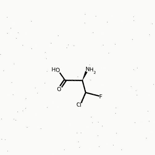 N[C@H](C(=O)O)C(F)Cl